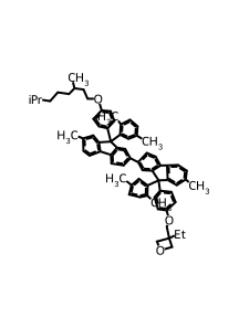 CCC1(COc2ccc(C3(c4cc(C)ccc4C)c4cc(C)ccc4-c4ccc(-c5ccc6c(c5)C(c5ccc(OCCC(C)CCCC(C)C)cc5)(c5cc(C)ccc5C)c5cc(C)ccc5-6)cc43)cc2)COC1